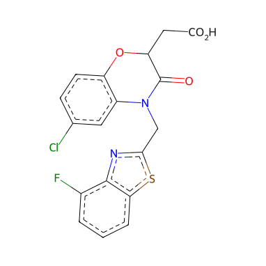 O=C(O)CC1Oc2ccc(Cl)cc2N(Cc2nc3c(F)cccc3s2)C1=O